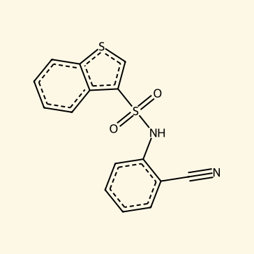 N#Cc1ccccc1NS(=O)(=O)c1csc2ccccc12